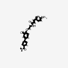 CN(C)C(=O)c1ccc(-c2ccc(OCCNC(=O)C=Cc3ccc(N)nc3)c(Cl)c2)cc1